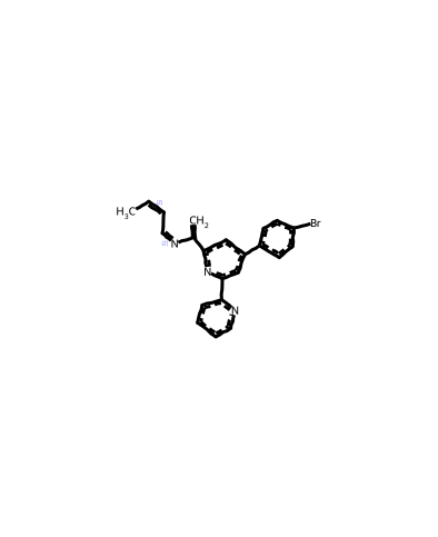 C=C(/N=C\C=C/C)c1cc(-c2ccc(Br)cc2)cc(-c2ccccn2)n1